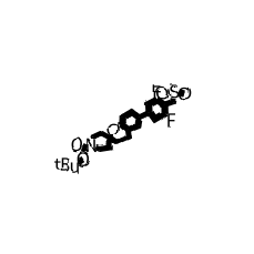 CC(C)(C)OC(=O)N1CCC2(CCc3cc(-c4cc(F)c(CS(C)(=O)=O)c(F)c4)ccc3O2)CC1